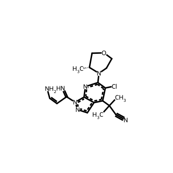 C[C@@H]1COCCN1c1nc2c(cnn2C(=N)/C=C\N)c(C(C)(C)C#N)c1Cl